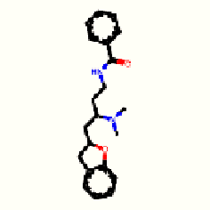 CN(C)C(CCNC(=O)c1ccccc1)CC1Cc2ccccc2O1